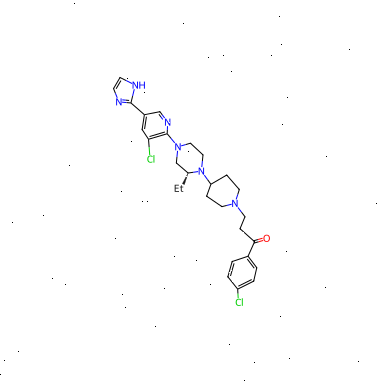 CC[C@H]1CN(c2ncc(-c3ncc[nH]3)cc2Cl)CCN1C1CCN(CCC(=O)c2ccc(Cl)cc2)CC1